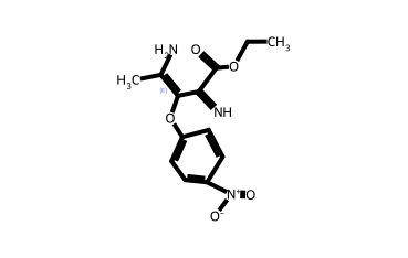 CCOC(=O)C(=N)/C(Oc1ccc([N+](=O)[O-])cc1)=C(/C)N